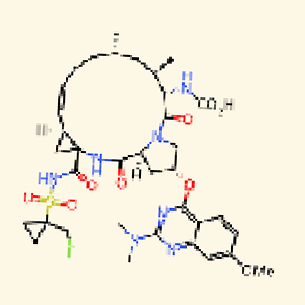 COc1ccc2c(O[C@@H]3C[C@H]4C(=O)N[C@]5(C(=O)NS(=O)(=O)C6(CF)CC6)C[C@H]5/C=C\CC[C@H](C)C[C@@H](C)[C@H](NC(=O)O)C(=O)N4C3)nc(N(C)C)nc2c1